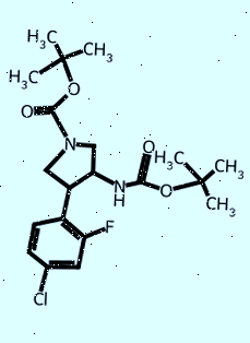 CC(C)(C)OC(=O)NC1CN(C(=O)OC(C)(C)C)CC1c1ccc(Cl)cc1F